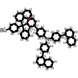 CC(C)(C)c1ccc(C2(c3cccc4ccccc34)c3ccccc3-c3c(-c4ccc(N(c5ccc(-c6cccc7ccccc67)cc5)c5ccc(-c6cccc7ccccc67)cc5)cc4)cccc32)cc1